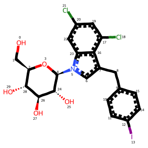 OC[C@H]1O[C@@H](n2cc(Cc3ccc(I)cc3)c3c(Cl)cc(Cl)cc32)[C@H](O)[C@@H](O)[C@@H]1O